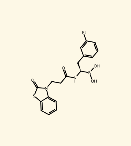 CCc1cccc(C[C@H](NC(=O)CCn2c(=O)sc3ccccc32)B(O)O)c1